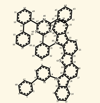 c1ccc(-c2cccc(-n3c4ccccc4c4ccc5c6ccc7c8ccccc8n(-c8ccccc8-c8nc(-c9ccccc9)nc(-c9ccccc9-c9ccccc9)n8)c7c6sc5c43)c2)cc1